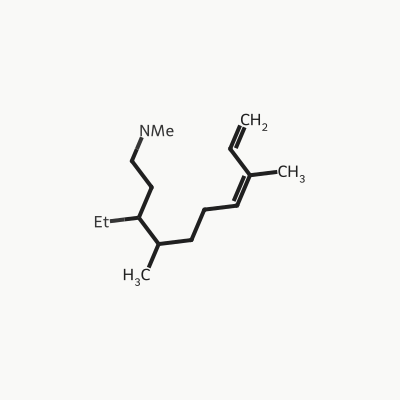 C=C/C(C)=C\CCC(C)C(CC)CCNC